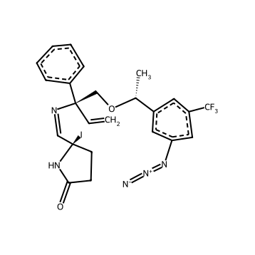 C=C[C@](CO[C@H](C)c1cc(N=[N+]=[N-])cc(C(F)(F)F)c1)(/N=C\[C@]1(I)CCC(=O)N1)c1ccccc1